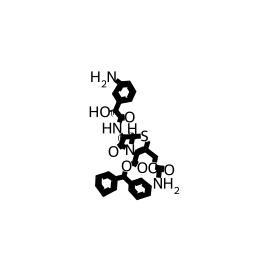 NC(=O)OCC1=C(C(=O)OC(c2ccccc2)c2ccccc2)N2C(=O)[C@@H](NC(=O)[C@H](O)c3cccc(N)c3)[C@H]2SC1